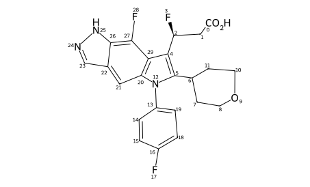 O=C(O)C[C@H](F)c1c(C2CCOCC2)n(-c2ccc(F)cc2)c2cc3cn[nH]c3c(F)c12